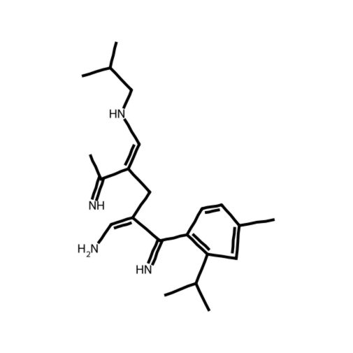 CC(=N)/C(=C\NCC(C)C)C/C(=C/N)C(=N)c1ccc(C)cc1C(C)C